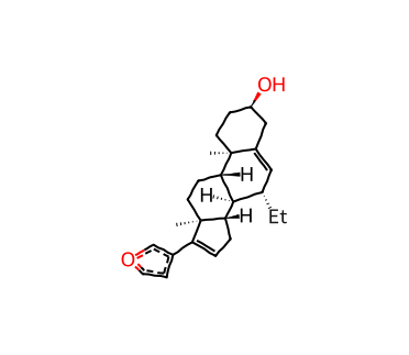 CC[C@H]1C=C2C[C@H](O)CC[C@]2(C)[C@H]2CC[C@]3(C)C(c4ccoc4)=CC[C@H]3[C@H]12